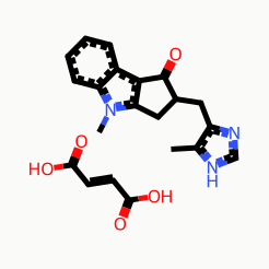 Cc1[nH]cnc1CC1Cc2c(c3ccccc3n2C)C1=O.O=C(O)C=CC(=O)O